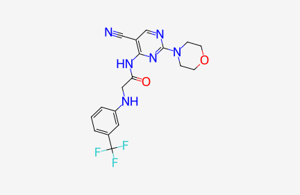 N#Cc1cnc(N2CCOCC2)nc1NC(=O)CNc1cccc(C(F)(F)F)c1